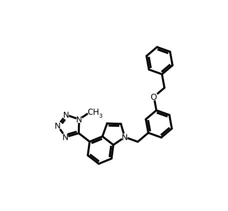 Cn1nnnc1-c1cccc2c1ccn2Cc1cccc(OCc2ccccc2)c1